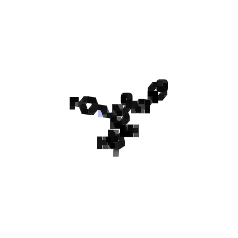 Cc1cc(Nc2cc(C(=O)NCCN3CCOCC3)nc(/C=C/c3ccc(F)cc3)n2)n[nH]1